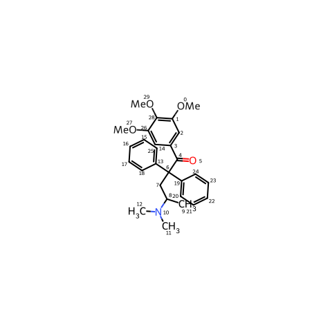 COc1cc(C(=O)C(CC(C)N(C)C)(c2ccccc2)c2ccccc2)cc(OC)c1OC